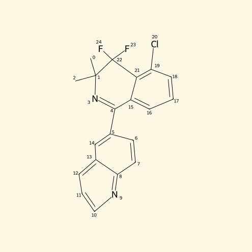 CC1(C)N=C(c2ccc3ncccc3c2)c2cccc(Cl)c2C1(F)F